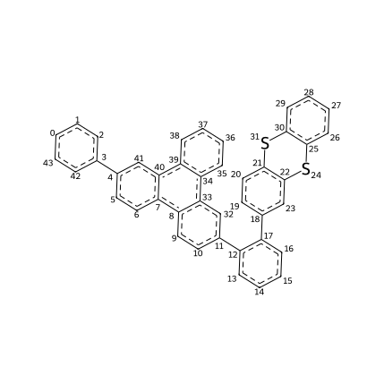 c1ccc(-c2ccc3c4ccc(-c5ccccc5-c5ccc6c(c5)Sc5ccccc5S6)cc4c4ccccc4c3c2)cc1